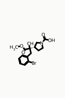 COC(=O)C(C)(Cc1ccccc1Br)[C@H]1CCN(C(=O)O)C1